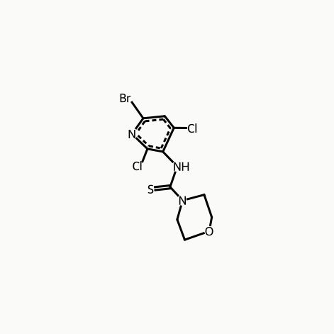 S=C(Nc1c(Cl)cc(Br)nc1Cl)N1CCOCC1